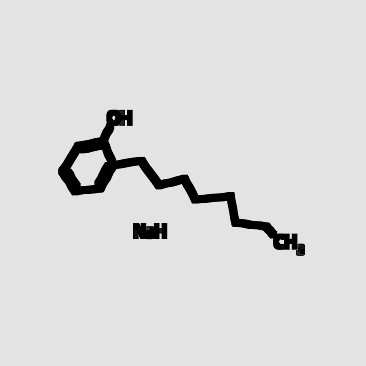 CCCCCCCCc1ccccc1O.[NaH]